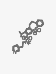 CC(C)c1cc2c(cc1S(=O)(=O)N(F)CCc1cccnc1)S(=O)(=O)c1ccccc1CC2